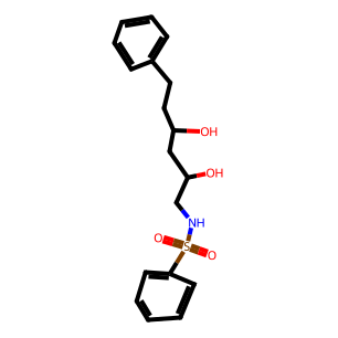 O=S(=O)(NCC(O)CC(O)CCc1ccccc1)c1ccccc1